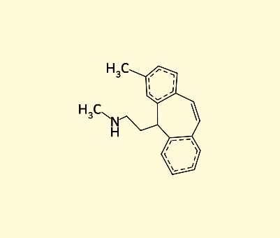 CNCCC1c2ccccc2C=Cc2ccc(C)cc21